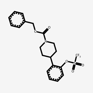 O=C(OCc1ccccc1)N1CCC(c2ccccc2OS(=O)(=O)C(F)(F)F)CC1